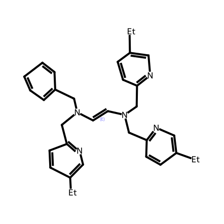 CCc1ccc(CN(/C=C/N(Cc2ccc(CC)cn2)Cc2ccc(CC)cn2)Cc2ccccc2)nc1